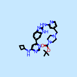 CC(C)(C)OC(=O)N1CCN(Cc2ccnc(Nc3nc4ccc(-c5cc(NC6CCC6)ncn5)cc4[nH]3)c2)CC1